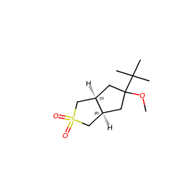 COC1(C(C)(C)C)C[C@@H]2CS(=O)(=O)C[C@@H]2C1